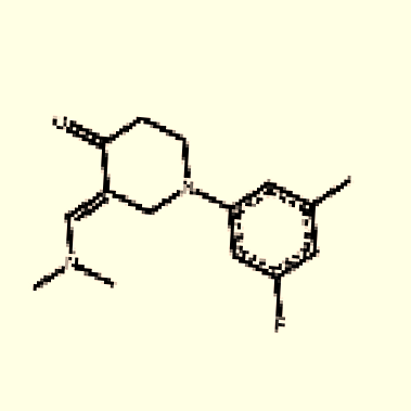 Cc1cc(F)cc(N2CCC(=O)C(=CN(C)C)C2)c1